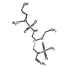 C=CN(C[C@H](CNS(=O)(=O)N(C)CCO)OCC)S(C)(=O)=O